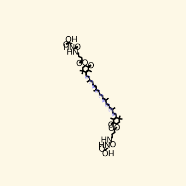 CC1=C(/C=C/C(C)=C/C=C/C(C)=C/C=C/C=C(C)/C=C/C=C(C)/C=C/C2=C(C)C(=O)C(OC(=O)CCCNC(=O)NCC(=O)O)CC2(C)C)C(C)(C)CC(OC(=O)CCCNC(=O)NCC(=O)O)C1=O